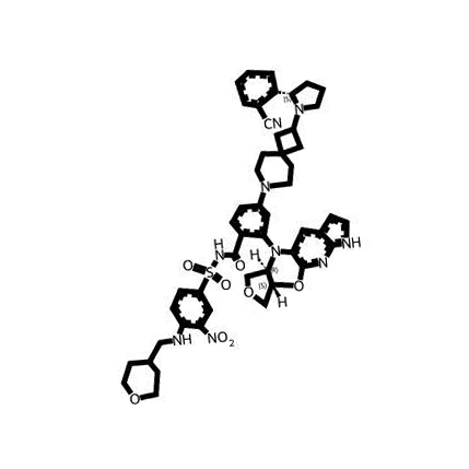 N#Cc1ccccc1[C@@H]1CCCN1C1CC2(CCN(c3ccc(C(=O)NS(=O)(=O)c4ccc(NCC5CCOCC5)c([N+](=O)[O-])c4)c(N4c5cc6cc[nH]c6nc5O[C@@H]5COC[C@H]54)c3)CC2)C1